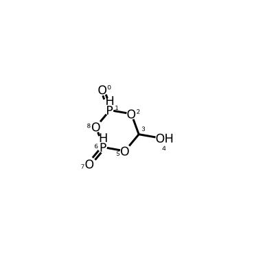 O=[PH]1OC(O)O[PH](=O)O1